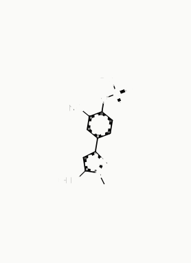 Cn1nc(-c2ccc(OS(=O)(=O)C(F)(F)F)c(C#N)c2)cc1C=O